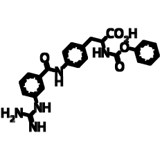 N=C(N)Nc1cccc(C(=O)Nc2ccc(CC(NC(=O)Oc3ccccc3)C(=O)O)cc2)c1